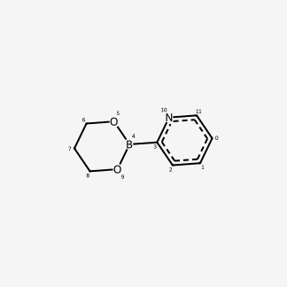 c1ccc(B2OCCCO2)nc1